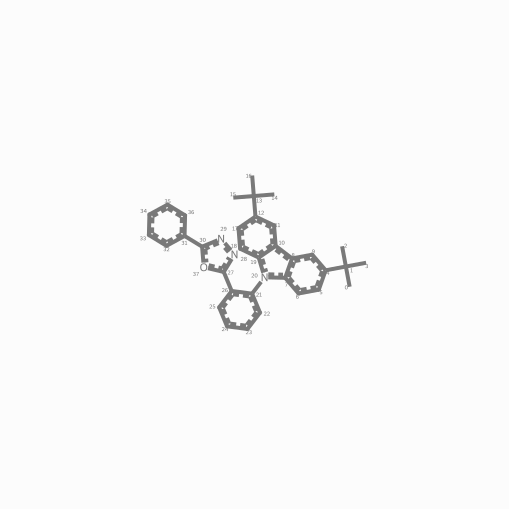 CC(C)(C)c1ccc2c(c1)c1cc(C(C)(C)C)ccc1n2-c1ccccc1-c1nnc(-c2ccccc2)o1